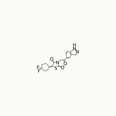 O=C(CN1C(=O)SC(=C2CCC(F)(F)CC2)C1=O)c1ccc2[nH]ncc2c1